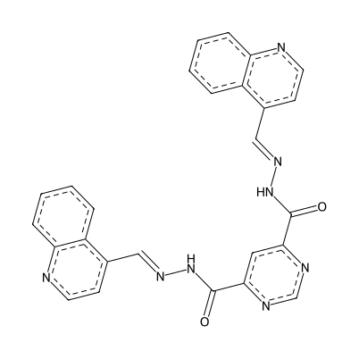 O=C(NN=Cc1ccnc2ccccc12)c1cc(C(=O)NN=Cc2ccnc3ccccc23)ncn1